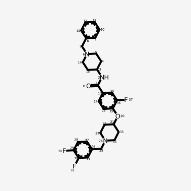 O=C(NC1CCN(Cc2ccccc2)CC1)c1ccc(OC2CCN(Cc3ccc(F)c(F)c3)CC2)c(F)c1